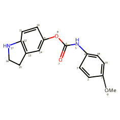 COc1ccc(NC(=O)Oc2ccc3c(c2)CCN3)cc1